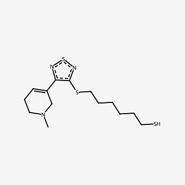 CN1CCC=C(c2nsnc2SCCCCCCS)C1